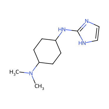 CN(C)C1CCC(Nc2ncc[nH]2)CC1